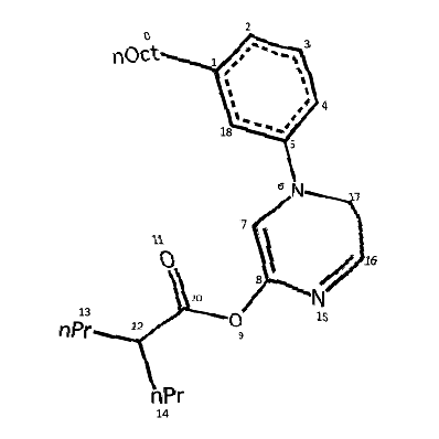 CCCCCCCCc1cccc(N2C=C(OC(=O)C(CCC)CCC)N=CC2)c1